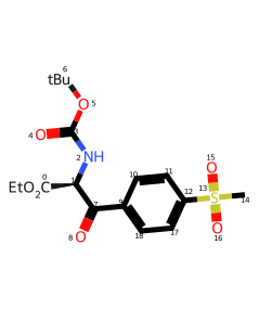 CCOC(=O)[C@@H](NC(=O)OC(C)(C)C)C(=O)c1ccc(S(C)(=O)=O)cc1